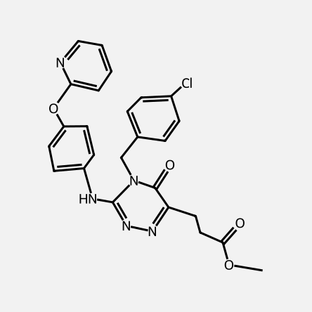 COC(=O)CCc1nnc(Nc2ccc(Oc3ccccn3)cc2)n(Cc2ccc(Cl)cc2)c1=O